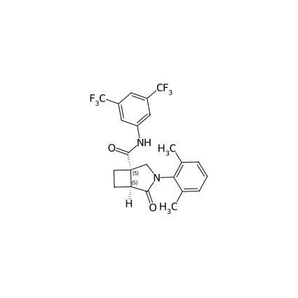 Cc1cccc(C)c1N1C[C@]2(C(=O)Nc3cc(C(F)(F)F)cc(C(F)(F)F)c3)CC[C@@H]2C1=O